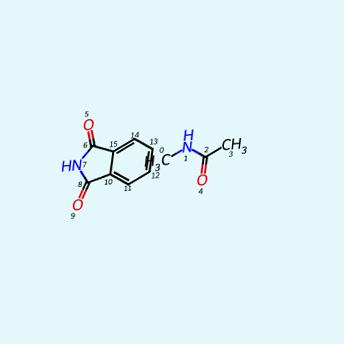 CNC(C)=O.O=C1NC(=O)c2ccccc21